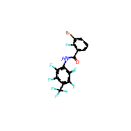 O=C(Nc1c(F)c(F)c(C(F)(F)F)c(F)c1F)c1cccc(Br)c1F